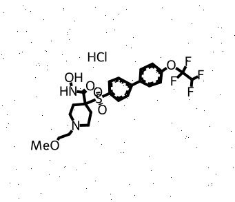 COCCN1CCC(C(=O)NO)(S(=O)(=O)c2ccc(-c3ccc(OC(F)(F)C(F)F)cc3)cc2)CC1.Cl